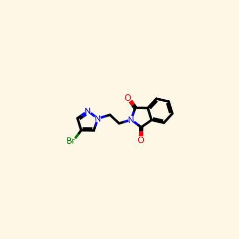 O=C1c2ccccc2C(=O)N1CCn1cc(Br)cn1